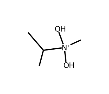 CC(C)[N+](C)(O)O